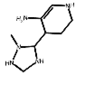 CN1NCNC1C1CCNC=C1N